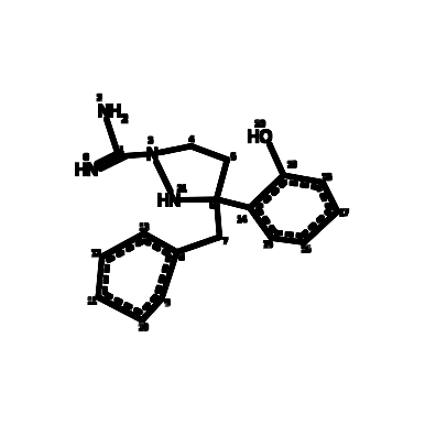 N=C(N)N1CCC(Cc2ccccc2)(c2ccccc2O)N1